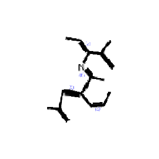 C=C(C)/C=C(\C=C/C)C(/C)=N/C(=C\C)C(=C)C